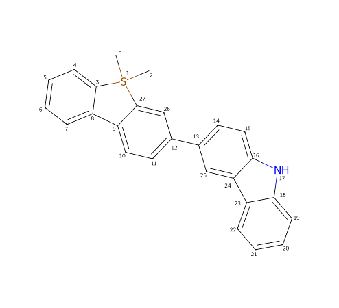 CS1(C)c2ccccc2-c2ccc(-c3ccc4[nH]c5ccccc5c4c3)cc21